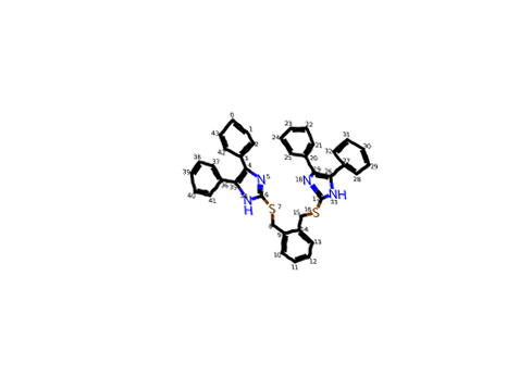 c1ccc(-c2nc(SCc3ccccc3CSc3nc(-c4ccccc4)c(-c4ccccc4)[nH]3)[nH]c2-c2ccccc2)cc1